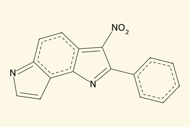 O=[N+]([O-])C1=c2ccc3c(c2N=C1c1ccccc1)C=CN=3